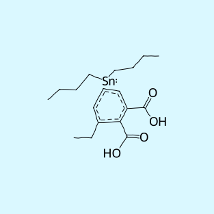 CCC[CH2][Sn][CH2]CCC.CCc1cccc(C(=O)O)c1C(=O)O